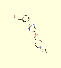 CN1CCC(COc2cnc(-c3cccc(CBr)c3)nc2)CC1